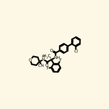 C[C@@](NC(=O)c1ccc(-c2ccccc2Cl)cc1)(C(=O)NC1(C#N)CCOCC1)c1c(F)cccc1F